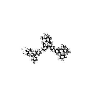 [2H]c1c([2H])c([2H])c(N(c2ccccc2)c2ccc(-c3ccc(N(c4ccc(-c5ccc(N(c6ccccc6)c6c([2H])c([2H])c([2H])c([2H])c6[2H])cc5)cc4)c4c([2H])c([2H])c([2H])c([2H])c4[2H])cc3)cc2)c([2H])c1[2H]